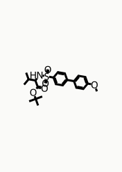 COc1ccc(-c2ccc(S(=O)(=O)NC(C(=O)OC(C)(C)C)C(C)C)cc2)cc1